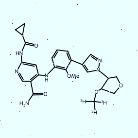 [2H]C([2H])([2H])OC1COCC1n1cc(-c2cccc(Nc3cc(NC(=O)C4CC4)ncc3C(N)=O)c2OC)cn1